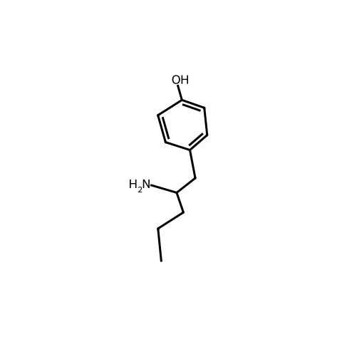 CCCC(N)Cc1ccc(O)cc1